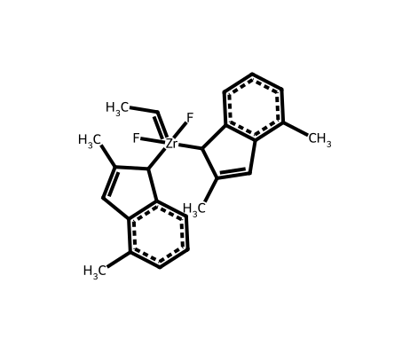 C[CH]=[Zr]([F])([F])([CH]1C(C)=Cc2c(C)cccc21)[CH]1C(C)=Cc2c(C)cccc21